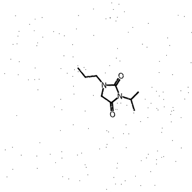 CCCN1CC(=O)N(C(C)C)C1=O